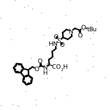 CC(C)(C)OC(=O)CN1CCC(S(=O)(=O)NCCCC[C@H](NC(=O)OCC2c3ccccc3-c3ccccc32)C(=O)O)CC1